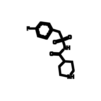 O=C(NS(=O)(=O)Cc1ccc(F)cc1)C1CCNCC1